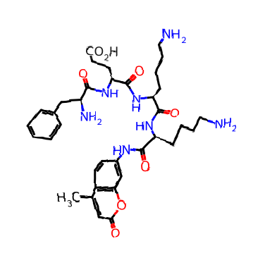 Cc1cc(=O)oc2cc(NC(=O)[C@H](CCCCN)NC(=O)[C@H](CCCCN)NC(=O)[C@H](CCC(=O)O)NC(=O)[C@@H](N)Cc3ccccc3)ccc12